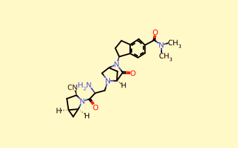 CN(C)C(=O)c1ccc2c(c1)CC[C@@H]2N1C(=O)[C@@H]2CC1CN2C[C@H](N)C(=O)N1[C@H](C#N)C[C@@H]2C[C@@H]21